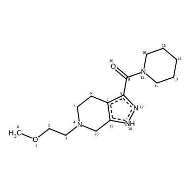 COCCN1CCc2c(C(=O)N3CCCCC3)n[nH]c2C1